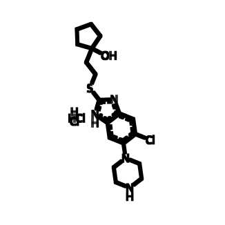 Cl.Cl.OC1(CCSc2nc3cc(Cl)c(N4CCNCC4)cc3[nH]2)CCCC1